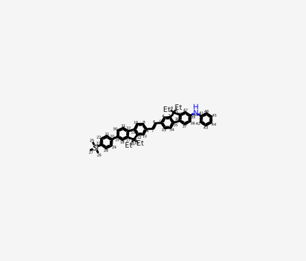 CCC1(CC)c2cc(/C=C/c3ccc4c(c3)C(CC)(CC)c3cc(-c5ccc([Si](C)(C)C)cc5)ccc3-4)ccc2-c2ccc(Nc3ccccc3)cc21